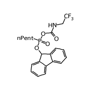 CCCCCP(=O)(OC(=O)NCC(F)(F)F)OC1c2ccccc2-c2ccccc21